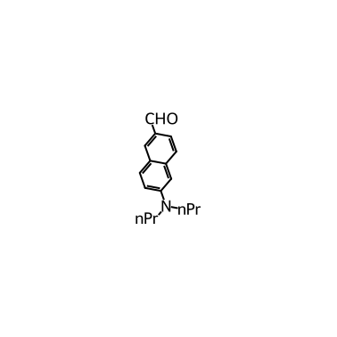 CCCN(CCC)c1ccc2cc(C=O)ccc2c1